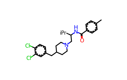 Cc1ccc(C(=O)NC(CN2CCC(Cc3ccc(Cl)c(Cl)c3)CC2)C(C)C)cc1